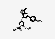 COc1ccc(-c2cc(O[C@@H]3C[C@@H](C(=O)O)N(C(=O)OC(C)(C)C)C3)c3onc(C)c3n2)cc1